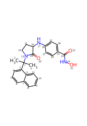 CC(C)(c1cccc2ccccc12)N1CCC(Nc2ccc(C(=O)NO)cc2)C1=O